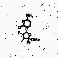 CC[C@]1(OC)O[C@@H](n2ccc(N)nc2=O)[C@@H](F)C1C